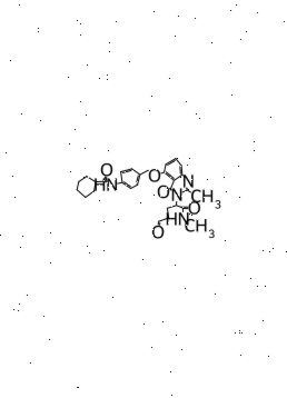 CNC(=O)C(CCC=O)n1c(C)nc2cccc(OCc3ccc(NC(=O)C4CCCCC4)cc3)c2c1=O